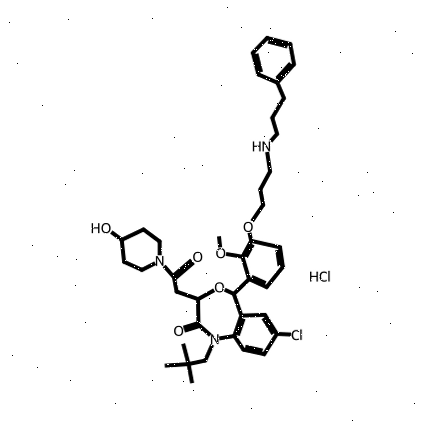 COc1c(OCCCNCCCc2ccccc2)cccc1C1OC(CC(=O)N2CCC(O)CC2)C(=O)N(CC(C)(C)C)c2ccc(Cl)cc21.Cl